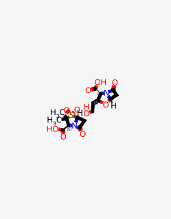 CC1(C)[C@H](C(=O)O)N2C(=O)C[C@H]2S1(=O)=O.O=C(O)[C@H]1/C(=C/CO)O[C@@H]2CC(=O)N21